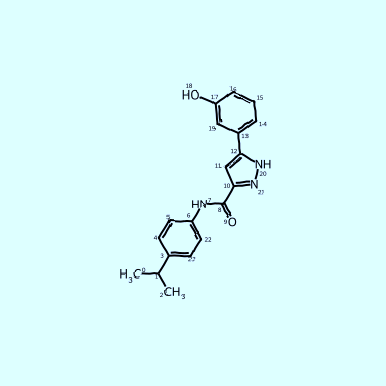 CC(C)c1ccc(NC(=O)c2cc(-c3cccc(O)c3)[nH]n2)cc1